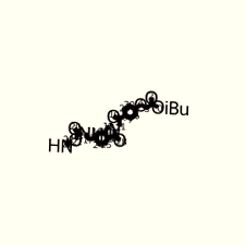 CC(C)COC(=O)COc1ccc(C(=O)CN2Cc3cc(CNC(=O)OC=N)ccc3C2=O)cc1